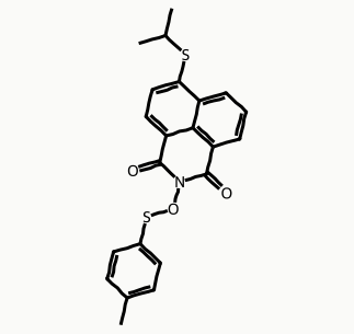 Cc1ccc(SON2C(=O)c3cccc4c(SC(C)C)ccc(c34)C2=O)cc1